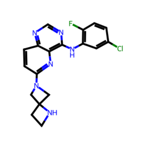 Fc1ccc(Cl)cc1Nc1ncnc2ccc(N3CC4(CCN4)C3)nc12